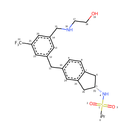 CC(C)S(=O)(=O)N[C@H]1Cc2ccc(Cc3cc(CNCCO)cc(C(F)(F)F)c3)cc2C1